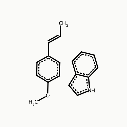 CC=Cc1ccc(OC)cc1.c1ccc2[nH]ccc2c1